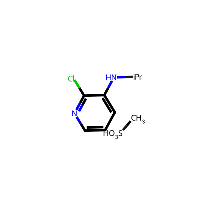 CC(C)Nc1cccnc1Cl.CS(=O)(=O)O